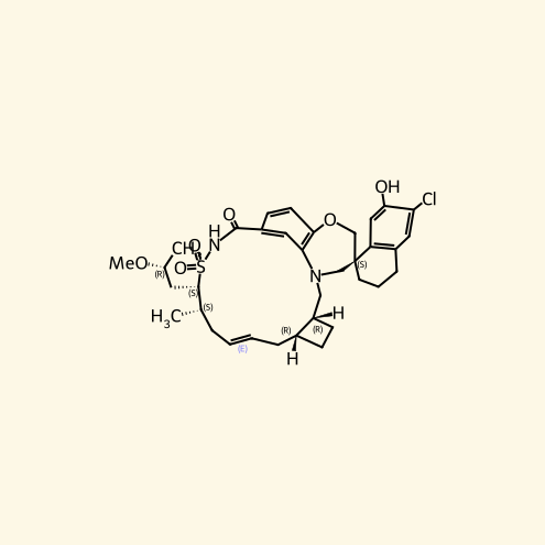 CO[C@H](C)C[C@H]1[C@@H](C)C/C=C/C[C@H]2CC[C@H]2CN2C[C@@]3(CCCc4cc(Cl)c(O)cc43)COc3ccc(cc32)C(=O)NS1(=O)=O